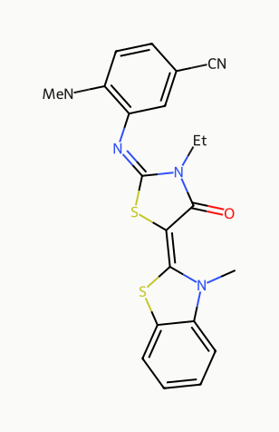 CCN1C(=O)/C(=C2/Sc3ccccc3N2C)S/C1=N/c1cc(C#N)ccc1NC